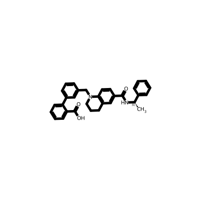 C[C@H](NC(=O)c1ccc2c(c1)CCCN2Cc1cccc(-c2ccccc2C(=O)O)c1)c1ccccc1